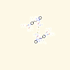 C[n+]1c(/C=C/c2ccc(N(CCO)CCO)cc2)n(CC(=O)NCCSSCCNC(=O)Cn2c(CCc3ccc(N(CCO)CCO)cc3)[n+](C)c3ccccc32)c2ccccc21